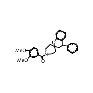 COc1ccc(C(=O)N2CCC3(CC2)CC(c2ccccc2)c2ccccc2O3)cc1OC